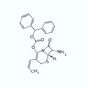 C/C=C\C1=C(OC(=O)OC(c2ccccc2)c2ccccc2)N2C(=O)C(N)[C@@H]2SC1